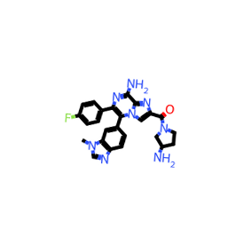 Cn1cnc2ccc(-c3c(-c4ccc(F)cc4)nc(N)c4nc(C(=O)N5CCC(N)C5)cn34)cc21